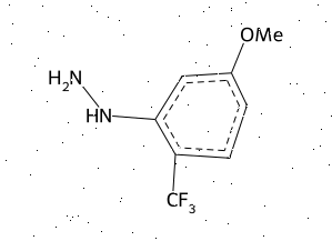 COc1ccc(C(F)(F)F)c(NN)c1